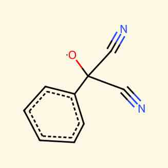 N#CC([O])(C#N)c1ccccc1